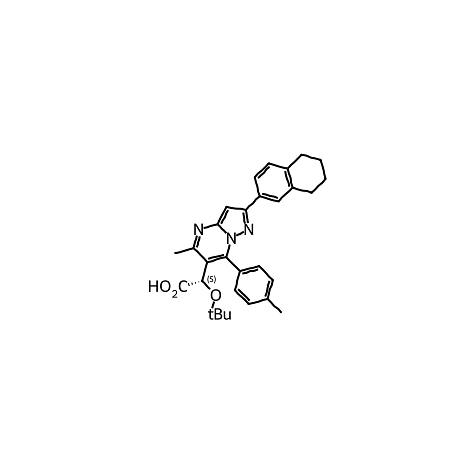 Cc1ccc(-c2c([C@H](OC(C)(C)C)C(=O)O)c(C)nc3cc(-c4ccc5c(c4)CCCC5)nn23)cc1